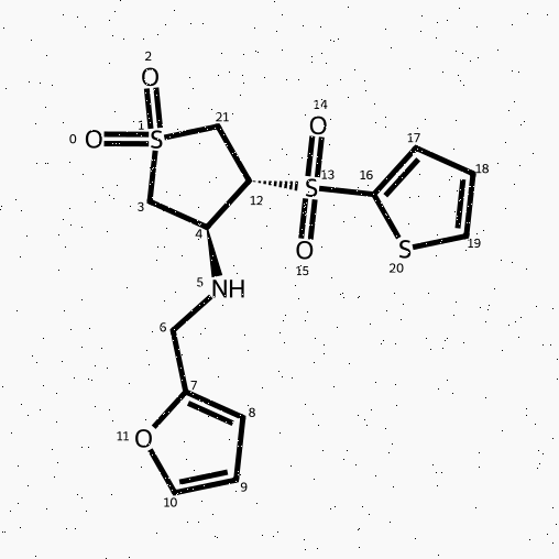 O=S1(=O)C[C@H](NCc2ccco2)[C@@H](S(=O)(=O)c2cccs2)C1